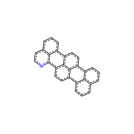 c1cc2cccc3c4ccc5c6nccc7cccc(c8ccc(c(c1)c23)c4c85)c76